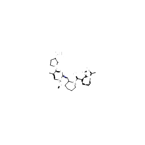 C=NN1C=C(C)C(N2CC[C@H](N)C2)=N/C1=C/C1CCCCN1C(=O)c1cccn2c(C)nnc12